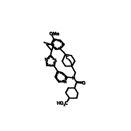 COc1ccc(C23CCC(CN(C(=O)C4CCC(C(=O)O)CC4)c4cc(-c5cnc(C6CC6)s5)ccn4)(CC2)CC3)cc1C